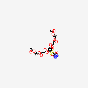 C=CC(=O)OCC(C)(C)COC(=O)CCC(=O)Oc1ccc(OC(=O)CCC(=O)OCC(C)(C)COC(=O)C=C)c2c1SC(=C1C(=O)N(C)N(C)C1=O)S2